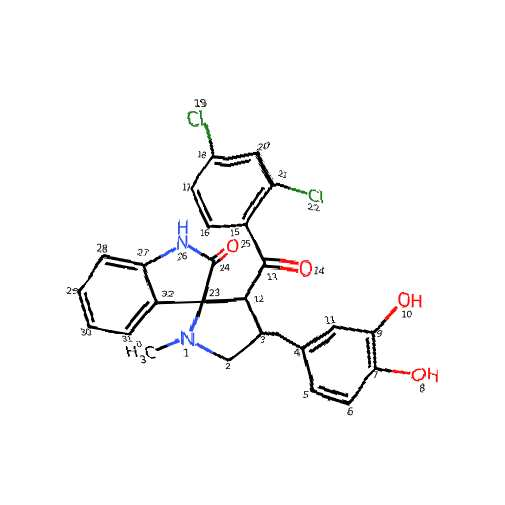 CN1CC(c2ccc(O)c(O)c2)C(C(=O)c2ccc(Cl)cc2Cl)C12C(=O)Nc1ccccc12